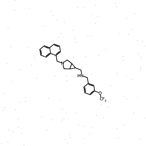 FC(F)(F)Oc1cccc(CNCC2C3CN(Cc4cccc5ccccc45)CC23)c1